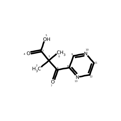 CC(C)(C(=O)O)C(=O)c1cnccn1